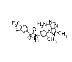 Cc1cc(NC(=O)[C@H](O)c2ccc(C(F)(F)F)c(F)c2)ccc1-n1nc(C)c2ncnc(N)c21